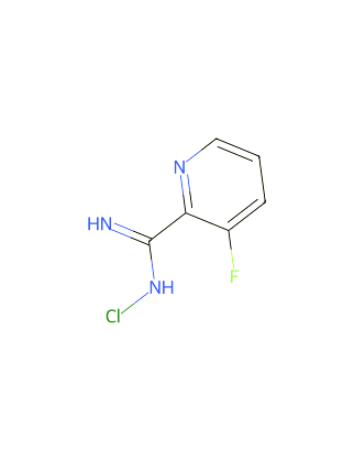 N=C(NCl)c1ncccc1F